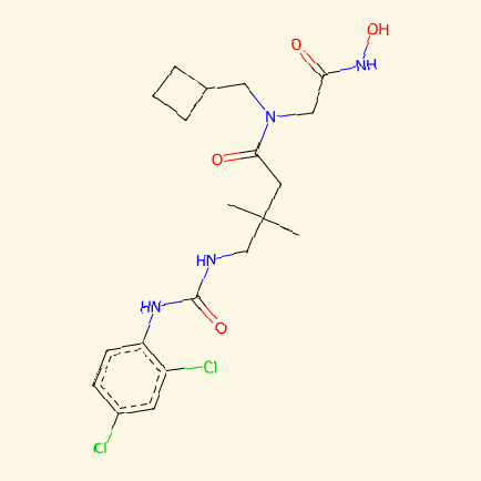 CC(C)(CNC(=O)Nc1ccc(Cl)cc1Cl)CC(=O)N(CC(=O)NO)CC1CCC1